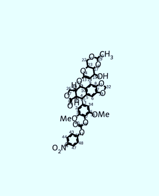 COc1cc([C@@H]2c3cc4c(cc3[C@@H](OC3=CC(O)C5OC(C)OCC5O3)[C@H]3COC(=O)[C@H]23)OCO4)cc(OC)c1OC(=O)Oc1ccc([N+](=O)[O-])cc1